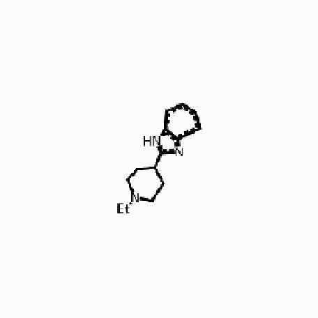 CCN1CCC(c2nc3ccccc3[nH]2)CC1